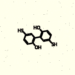 Oc1ccc(S)cc1-c1cc(S)ccc1O